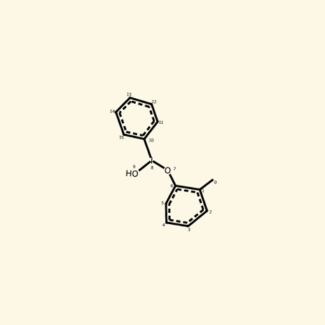 Cc1ccccc1OI(O)c1ccccc1